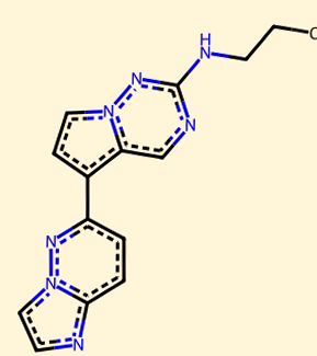 FC(F)(F)CCNc1ncc2c(-c3ccc4nccn4n3)ccn2n1